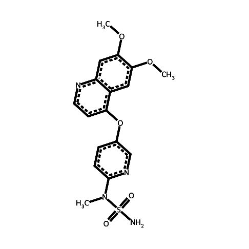 COc1cc2nccc(Oc3ccc(N(C)S(N)(=O)=O)nc3)c2cc1OC